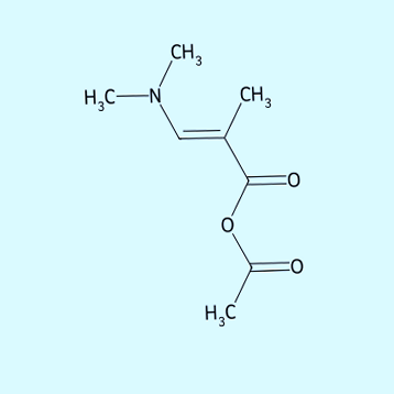 CC(=O)OC(=O)C(C)=CN(C)C